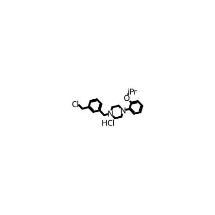 CC(C)Oc1ccccc1N1CCN(Cc2cccc(CCl)c2)CC1.Cl